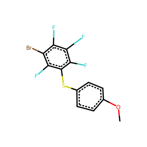 COc1ccc(Sc2c(F)c(F)c(F)c(Br)c2F)cc1